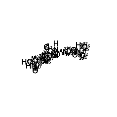 COc1cc(NC(=O)CCN2CCC(OC(=O)Nc3ccccc3-c3ccccc3)CC2)c(Cl)cc1CNC[C@@H](O[Si](C)(C)C(C)(C)C)c1ccc(O)c2[nH]c(=O)ccc12